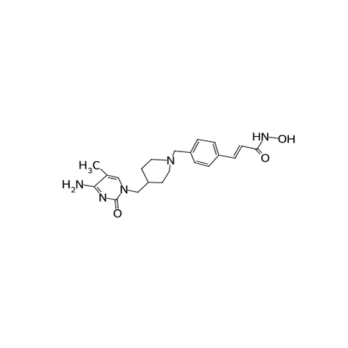 Cc1cn(CC2CCN(Cc3ccc(/C=C/C(=O)NO)cc3)CC2)c(=O)nc1N